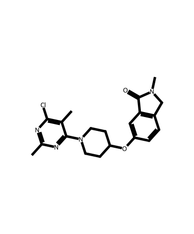 Cc1nc(Cl)c(C)c(N2CCC(Oc3ccc4c(c3)C(=O)N(C)C4)CC2)n1